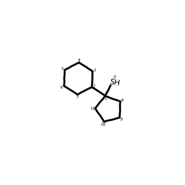 SC1(C2CCCCC2)CCCC1